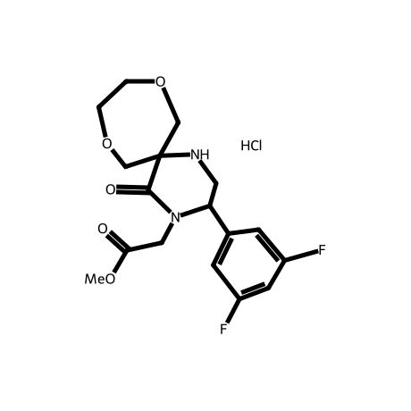 COC(=O)CN1C(=O)C2(COCCOC2)NCC1c1cc(F)cc(F)c1.Cl